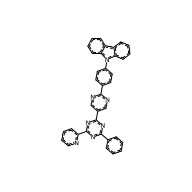 c1ccc(-c2nc(-c3cnc(-c4ccc(-n5c6ccccc6c6ccccc65)cc4)nc3)nc(-c3ccccn3)n2)cc1